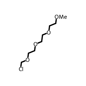 COCCOCCOCCOCCl